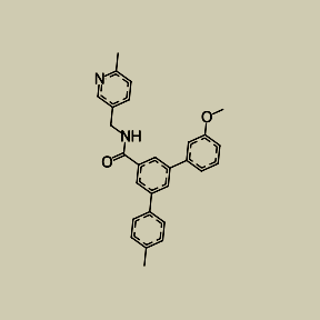 COc1cccc(-c2cc(C(=O)NCc3ccc(C)nc3)cc(-c3ccc(C)cc3)c2)c1